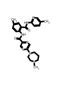 Cc1ccc(NC(=O)c2cc(C)ccc2NC(=O)c2cnc(N3CCCN(C)CC3)cn2)nc1